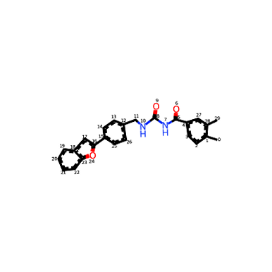 Cc1ccc(C(=O)NC(=O)NCc2ccc(-c3cc4ccccc4o3)cc2)cc1C